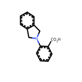 O=C(O)c1ccccc1N1Cc2ccccc2C1